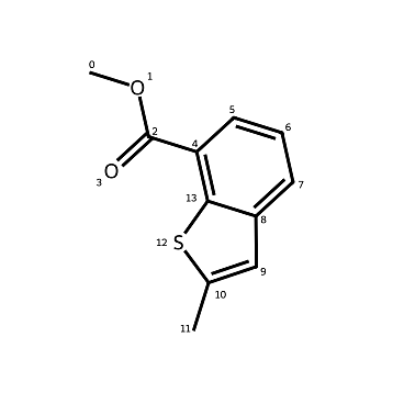 COC(=O)c1cccc2cc(C)sc12